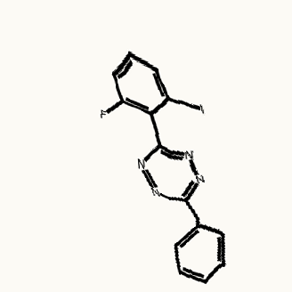 Fc1cccc(I)c1-c1nnc(-c2ccccc2)nn1